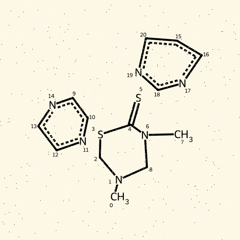 CN1CSC(=S)N(C)C1.c1cnccn1.c1cncnc1